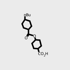 CCCCC1CCC(C(=O)OC2CCC(C(=O)O)CC2)CC1